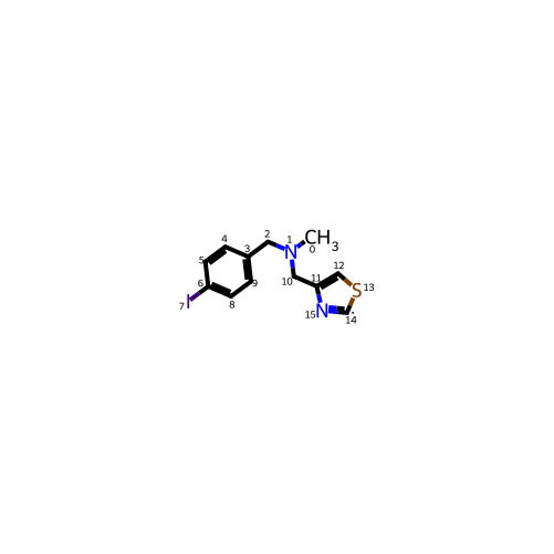 CN(Cc1ccc(I)cc1)Cc1cs[c]n1